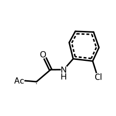 CC(=O)[CH]C(=O)Nc1ccccc1Cl